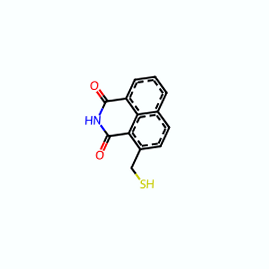 O=C1NC(=O)c2c(CS)ccc3cccc1c23